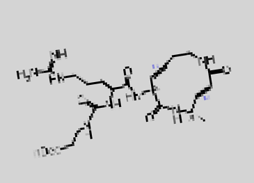 CCCCCCCCCCCCNC(=O)NC(CCCNC(=N)N)C(=O)N[C@H]1/C=C/CCNC(=O)/C=C/[C@H](C)NC1=O